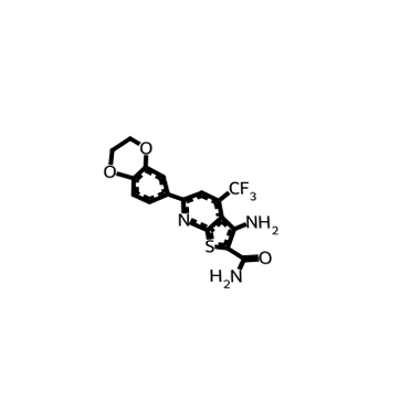 NC(=O)c1sc2nc(-c3ccc4c(c3)OCCO4)cc(C(F)(F)F)c2c1N